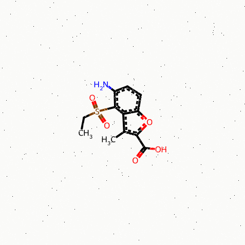 CCS(=O)(=O)c1c(N)ccc2oc(C(=O)O)c(C)c12